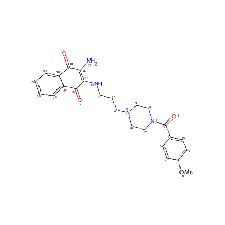 COc1ccc(C(=O)N2CCN(CCCNC3=C(N)C(=O)c4ccccc4C3=O)CC2)cc1